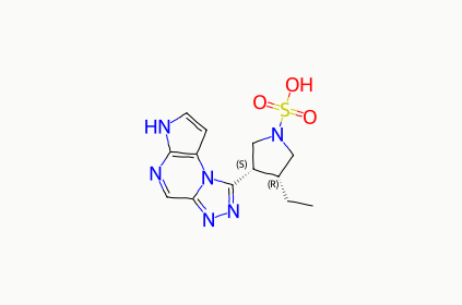 CC[C@H]1CN(S(=O)(=O)O)C[C@H]1c1nnc2cnc3[nH]ccc3n12